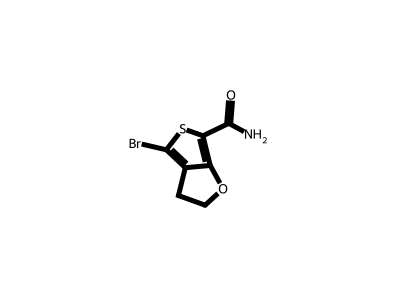 NC(=O)c1sc(Br)c2c1OCC2